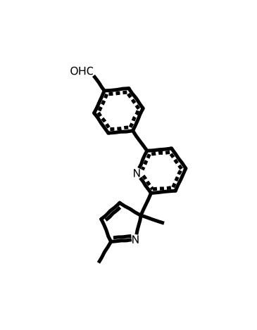 CC1=NC(C)(c2cccc(-c3ccc(C=O)cc3)n2)C=C1